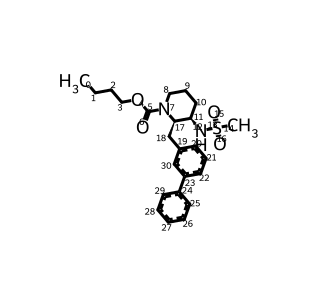 CCCCOC(=O)N1CCC[C@@H](NS(C)(=O)=O)[C@H]1Cc1cccc(-c2ccccc2)c1